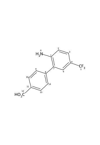 Nc1ccc(C(F)(F)F)cc1-c1ccc(C(=O)O)cc1